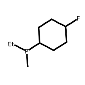 CCP(C)C1CCC(F)CC1